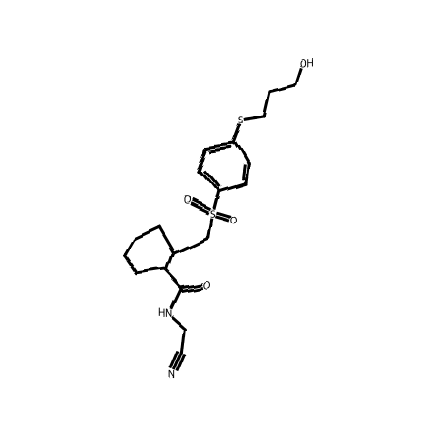 N#CCNC(=O)C1CCCCC1CS(=O)(=O)c1ccc(SCCCO)cc1